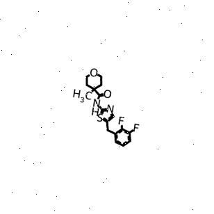 CC1(C(=O)Nc2ncc(Cc3cccc(F)c3F)s2)CCOCC1